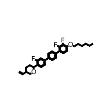 C=CC1CCC(c2ccc(-c3ccc(-c4ccc(OCCCCCC)c(F)c4F)cc3)cc2F)OC1